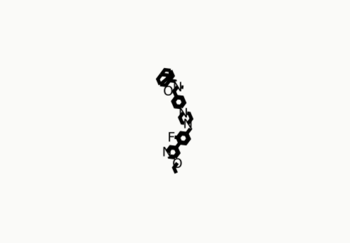 CCOc1cncc(-c2ccc(CN3CCN(c4ccc(C(=O)N(C)CC56CC7CC(CC(C7)C5)C6)cc4)CC3)cc2F)c1